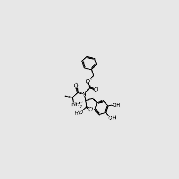 C[C@H](N)C(=O)N(C(=O)OCc1ccccc1)[C@@](C)(Cc1ccc(O)c(O)c1)C(=O)O